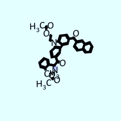 CC(=O)OCCn1c2ccc(C(=O)/C(=N/OC(C)=O)c3ccccc3C)cc2c2cc(C(=O)c3ccc4ccccc4c3)ccc21